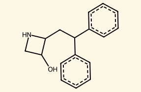 OC1CNC1CC(c1ccccc1)c1ccccc1